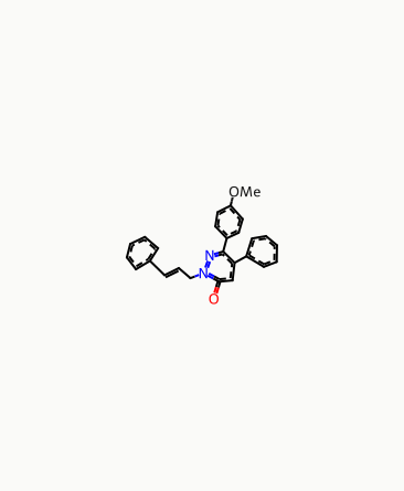 COc1ccc(-c2nn(CC=Cc3ccccc3)c(=O)cc2-c2ccccc2)cc1